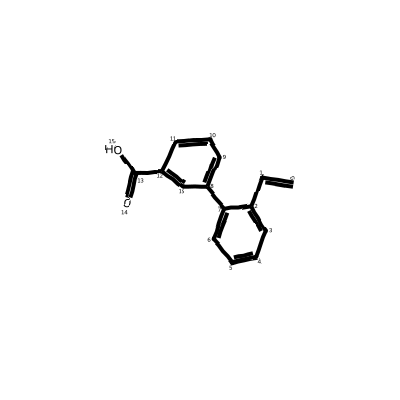 C=Cc1ccccc1-c1cccc(C(=O)O)c1